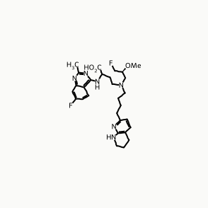 CO[C@H](CF)CN(CCCCc1ccc2c(n1)NCCC2)CCC(Nc1nc(C)nc2cc(F)ccc12)C(=O)O